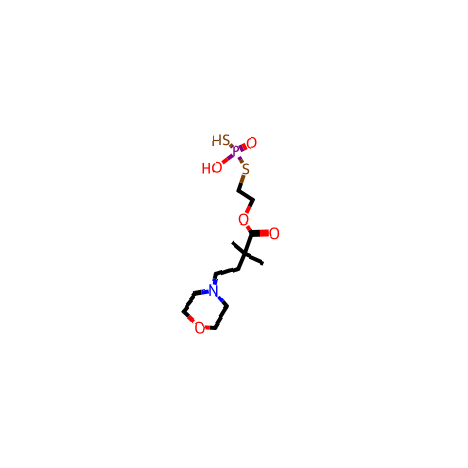 CC(C)(CCN1CCOCC1)C(=O)OCCSP(=O)(O)S